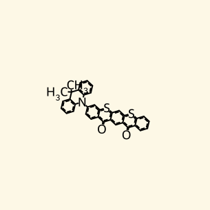 CC1(C)c2ccccc2N(c2ccc3c(=O)c4cc5c(=O)c6ccccc6sc5cc4sc3c2)c2ccccc21